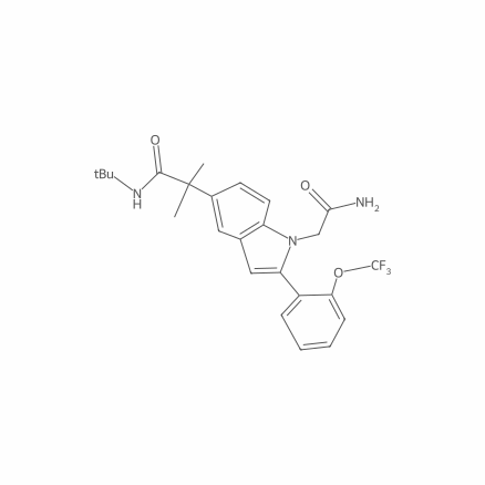 CC(C)(C)NC(=O)C(C)(C)c1ccc2c(c1)cc(-c1ccccc1OC(F)(F)F)n2CC(N)=O